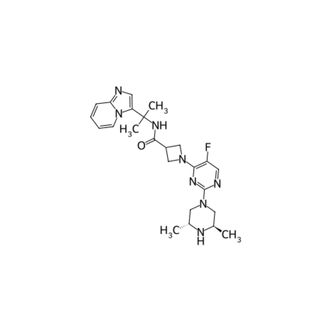 C[C@@H]1CN(c2ncc(F)c(N3CC(C(=O)NC(C)(C)c4cnc5ccccn45)C3)n2)C[C@@H](C)N1